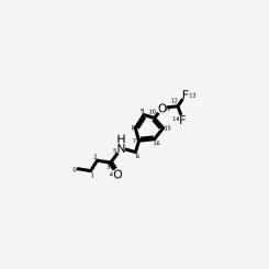 CCCC(=O)NCc1ccc(OC(F)F)cc1